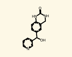 O=C1NCc2cc(C(O)c3cccnc3)ccc2N1